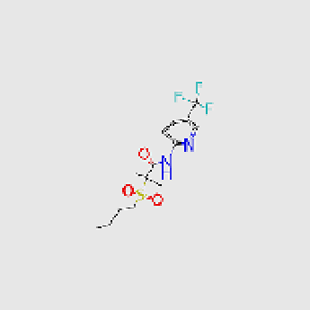 CCCCS(=O)(=O)C(C)(C)C(=O)Nc1ccc(C(F)(F)F)cn1